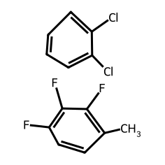 Cc1ccc(F)c(F)c1F.Clc1ccccc1Cl